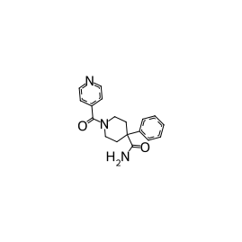 NC(=O)C1(c2ccccc2)CCN(C(=O)c2ccncc2)CC1